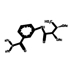 CCCN(CCC)C(=O)c1cccc(NC(=O)[C@H](OC(C)=O)[C@@H](OC(C)=O)C(=O)O)c1